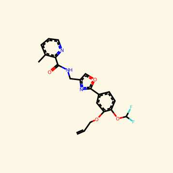 C=CCOc1cc(-c2nc(CNC(=O)c3ncccc3C)co2)ccc1OC(F)F